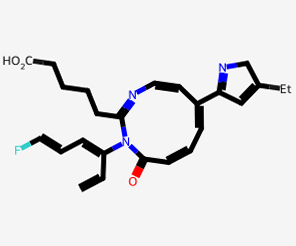 C=C/C(=C\C=C\F)n1c(CCCCC(=O)O)nccc(C2=NCC(CC)=C2)cccc1=O